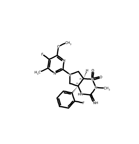 COc1nc(N2C[C@@H]3[C@](c4ccccc4F)(C2)NC(=N)N(C)S3(=O)=O)nc(C)c1F